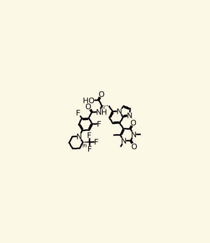 Cc1c(-c2ccc(C[C@H](NC(=O)c3c(F)cc(N4CCCC[C@@H]4C(F)(F)F)cc3F)C(=O)O)n3ccnc23)c(=O)n(C)c(=O)n1C